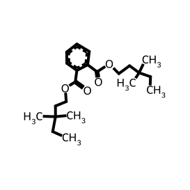 CCC(C)(C)CCOC(=O)c1ccccc1C(=O)OCCC(C)(C)CC